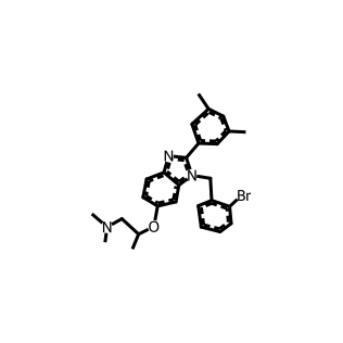 Cc1cc(C)cc(-c2nc3ccc(OC(C)CN(C)C)cc3n2Cc2ccccc2Br)c1